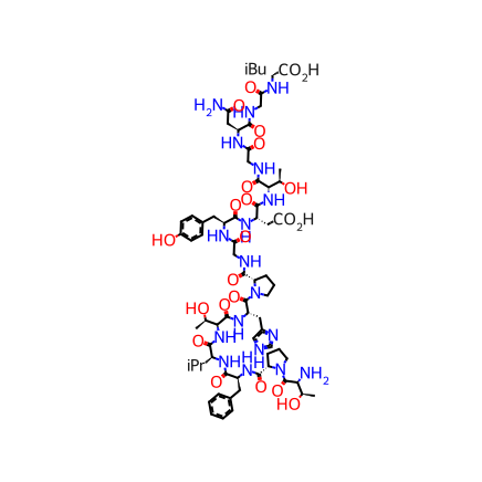 CC[C@H](C)[C@H](NC(=O)CNC(=O)[C@H](CC(N)=O)NC(=O)CNC(=O)[C@@H](NC(=O)[C@H](CC(=O)O)NC(=O)[C@H](Cc1ccc(O)cc1)NC(=O)CNC(=O)[C@@H]1CCCN1C(=O)[C@H](Cc1c[nH]cn1)NC(=O)[C@@H](NC(=O)[C@@H](NC(=O)[C@H](Cc1ccccc1)NC(=O)[C@@H]1CCCN1C(=O)[C@@H](N)[C@@H](C)O)C(C)C)[C@@H](C)O)[C@@H](C)O)C(=O)O